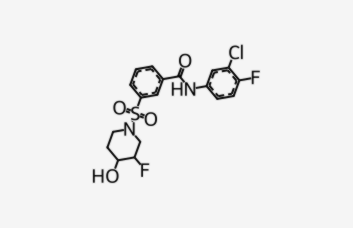 O=C(Nc1ccc(F)c(Cl)c1)c1cccc(S(=O)(=O)N2CCC(O)C(F)C2)c1